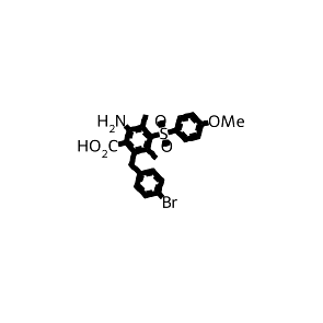 COc1ccc(S(=O)(=O)c2c(C)c(N)c(C(=O)O)c(Cc3ccc(Br)cc3)c2C)cc1